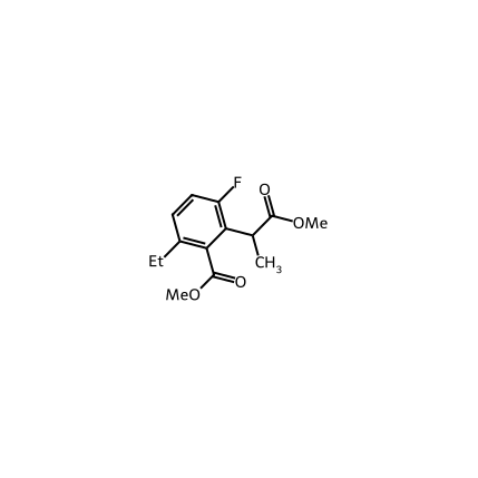 CCc1ccc(F)c(C(C)C(=O)OC)c1C(=O)OC